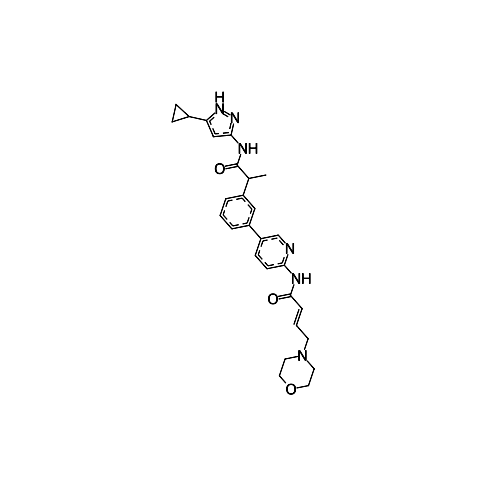 CC(C(=O)Nc1cc(C2CC2)[nH]n1)c1cccc(-c2ccc(NC(=O)/C=C/CN3CCOCC3)nc2)c1